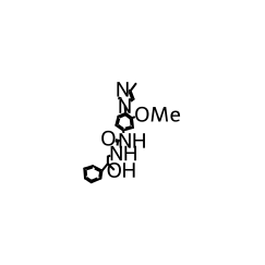 COc1cc(NC(=O)NCC(O)c2ccccc2)ccc1-n1cnc(C)c1